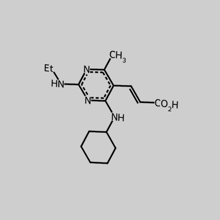 CCNc1nc(C)c(C=CC(=O)O)c(NC2CCCCC2)n1